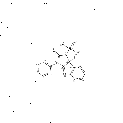 CC(C)[Si](C(C)C)(C(C)C)N1C(=O)N(c2ccccc2)C(=O)C1(C)c1ccccc1